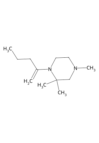 C=C(CCC)N1CCN(C)CC1(C)C